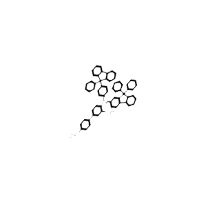 Cc1cc(-c2ccc(C(C)(C)C)cc2)ccc1N(c1ccc(C2(c3ccccc3)c3ccccc3-c3ccccc32)cc1)c1ccc2c(c1)C(c1ccccc1)(c1ccccc1)c1ccccc1-2